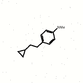 CNc1ccc(CCC2CC2)cc1